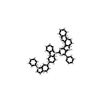 c1ccc(-c2nc(-n3c4ccccc4c4cc(-c5ccc6ccn(-c7ccccc7)c6c5)ccc43)nc3c2sc2ccc4c5ccccc5sc4c23)cc1